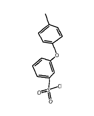 Cc1ccc(Oc2cccc(S(=O)(=O)Cl)c2)cc1